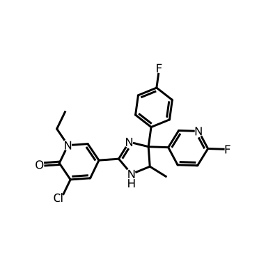 CCn1cc(C2=NC(c3ccc(F)cc3)(c3ccc(F)nc3)C(C)N2)cc(Cl)c1=O